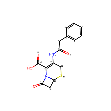 O=C(Cc1ccccc1)NC1=C(C(=O)O)N2C(=O)CC2SC1